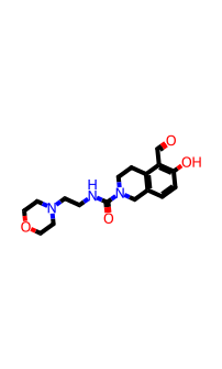 O=Cc1c(O)ccc2c1CCN(C(=O)NCCN1CCOCC1)C2